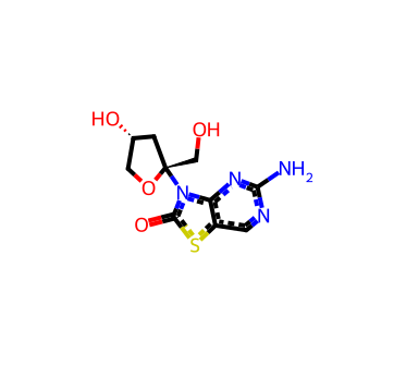 Nc1ncc2sc(=O)n([C@@]3(CO)C[C@@H](O)CO3)c2n1